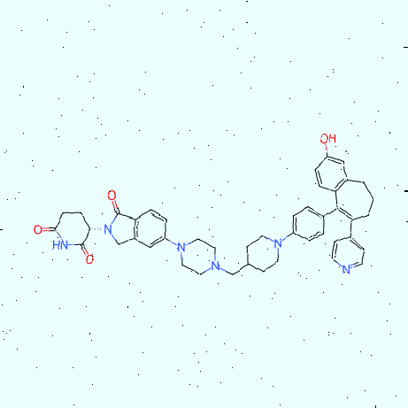 O=C1CC[C@H](N2Cc3cc(N4CCN(CC5CCN(c6ccc(C7=C(c8ccncc8)CCCc8cc(O)ccc87)cc6)CC5)CC4)ccc3C2=O)C(=O)N1